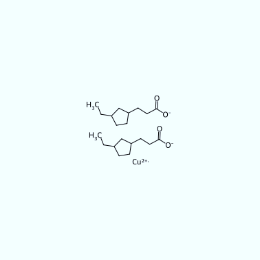 CCC1CCC(CCC(=O)[O-])C1.CCC1CCC(CCC(=O)[O-])C1.[Cu+2]